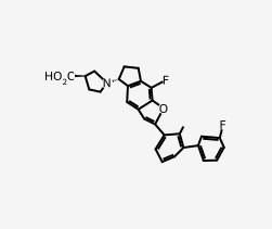 Cc1c(-c2cccc(F)c2)cccc1-c1cc2cc3c(c(F)c2o1)CC[C@H]3N1CC[C@@H](C(=O)O)C1